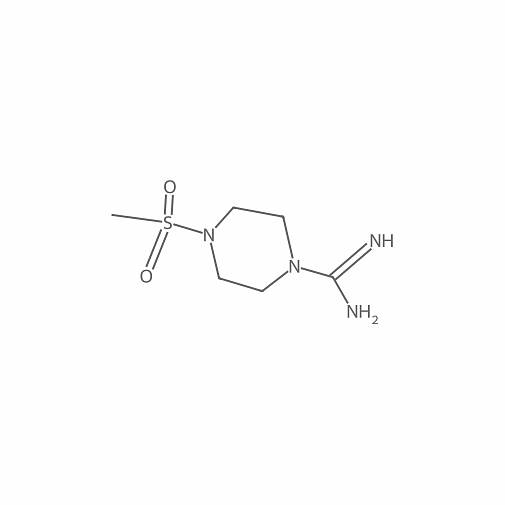 CS(=O)(=O)N1CCN(C(=N)N)CC1